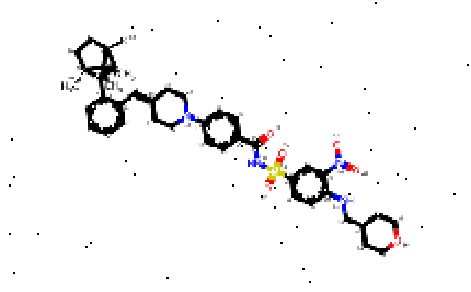 CC1(C)[C@H]2C=C(c3ccccc3C=C3CCN(c4ccc(C(=O)NS(=O)(=O)c5ccc(NCC6CCOCC6)c([N+](=O)[O-])c5)cc4)CC3)[C@@]1(C)CC2